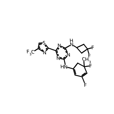 CC1(F)C=C(F)C=C(Nc2nc(NC3CC(F)(F)C3)nc(-c3nc(C(F)(F)F)cs3)n2)C1